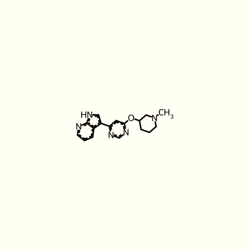 CN1CCCC(Oc2cc(-c3c[nH]c4ncccc34)ncn2)C1